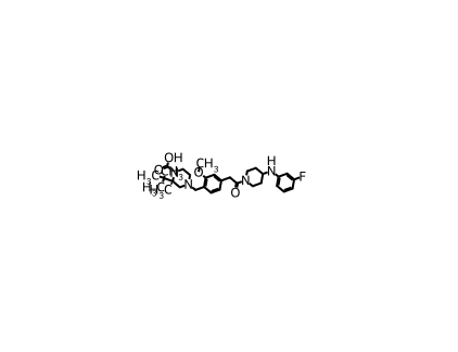 COc1cc(CC(=O)N2CCC(Nc3cccc(F)c3)CC2)ccc1CN1CCN(C(=O)O)[C@@](C)(C(C)(C)C)C1